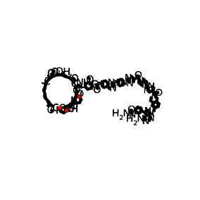 CO[C@H]1C[C@@H]2CC[C@@H](C)[C@@](O)(O2)C(=O)C(=O)N2CCCC[C@H]2C(=O)O[C@H]([C@H](N)C[C@@H]2CC[C@@H](OC(=O)N3CCc4nc(N5CCN(c6ncc(C(=O)N7CCN(c8ncc(C(=O)N9CCc%10cc(Cn%11nc(-c%12ccc%13oc(N)nc%13c%12)c%12c(N)ncnc%12%11)ccc%10C9)cn8)CC7)cn6)CC5)ncc4C3)[C@H](OC)C2)CC(=O)[C@H](C)/C=C(\C)[C@@H](O)[C@@H](OC)C(=O)[C@H](C)C[C@H](C)/C=C/C=C/C=C/1C